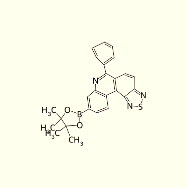 CC1(C)OB(c2ccc3c(c2)nc(-c2ccccc2)c2ccc4nsnc4c23)OC1(C)C